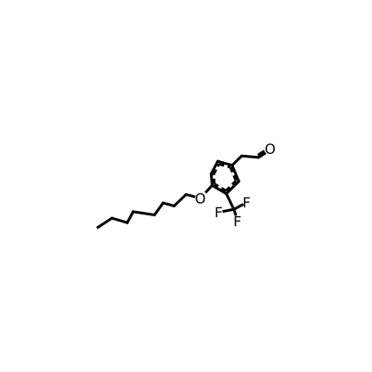 CCCCCCCCOc1ccc(CC=O)cc1C(F)(F)F